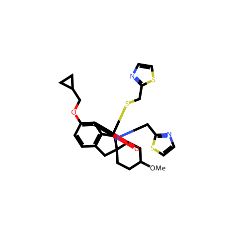 COC1CCC2(CC1)Cc1ccc(OCC3CC3)cc1C21N=C(SCc2nccs2)N(Cc2nccs2)C1=O